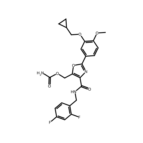 COc1ccc(-c2nc(C(=O)NCc3ccc(F)cc3F)c(COC(N)=O)o2)cc1OCC1CC1